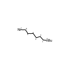 CCCCCCCCC[CH2][Ni]